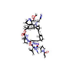 C=CC(=O)N1CC[C@H](C(=O)N(C)[C@H](C(=O)N[C@H]2Cc3cccc(c3)-c3ccc4c(c3)c(c(-c3cccnc3[C@H](C)OC)n4CCC#N)CC(C)(C)COC(=O)[C@@H]3CCCN(N3)C2=O)C(C)C)C1